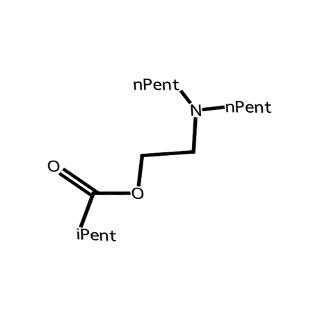 CCCCCN(CCCCC)CCOC(=O)C(C)CCC